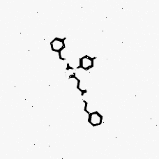 Cc1ccc(-n2c(CCC(=O)NCCC3=CCCC=C3)nnc2SCC2=CC(F)=CCC2)cc1